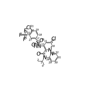 CC(C)N(C(=O)c1ncc(Cl)cc1NS(=O)(=O)c1ccc(Cl)c(C(F)(F)F)c1)c1ccccn1